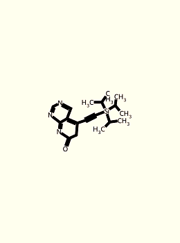 CC(C)[Si](C#CC1=c2cncnc2=NC(=O)C1)(C(C)C)C(C)C